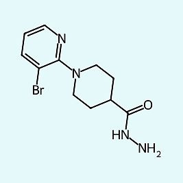 NNC(=O)C1CCN(c2ncccc2Br)CC1